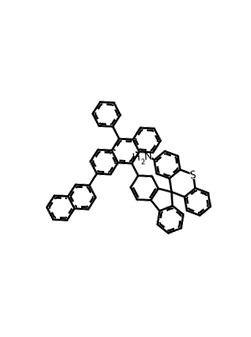 Nc1ccc2c(c1)C1(C3=C(C=CC(c4c5ccccc5c(-c5ccccc5)c5ccc(-c6ccc7ccccc7c6)cc45)C3)c3ccccc31)c1ccccc1S2